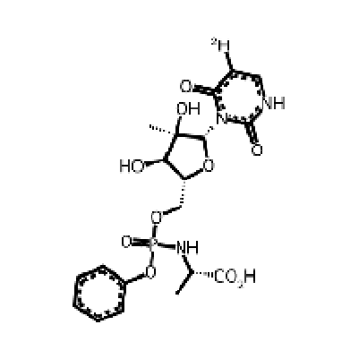 [2H]c1c[nH]c(=O)n([C@@H]2O[C@H](COP(=O)(N[C@@H](C)C(=O)O)Oc3ccccc3)[C@@H](O)[C@@]2(C)O)c1=O